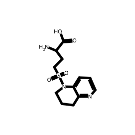 NC(CCS(=O)(=O)N1CCCc2ncccc21)C(=O)O